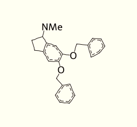 CNC1CCc2cc(OCc3ccccc3)c(OCc3ccccc3)cc21